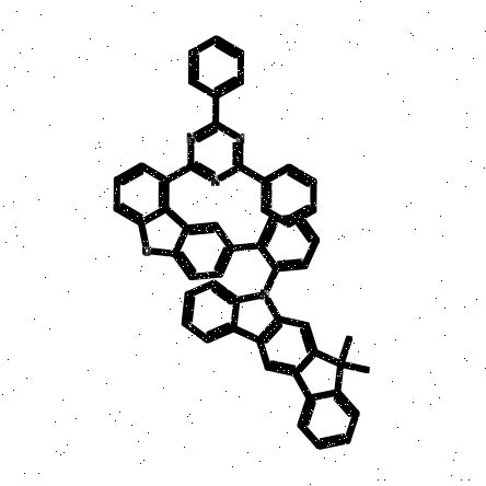 CC1(C)c2ccccc2-c2cc3c4ccccc4n(-c4ccccc4-c4ccc5oc6cccc(-c7nc(-c8ccccc8)nc(-c8ccccc8)n7)c6c5c4)c3cc21